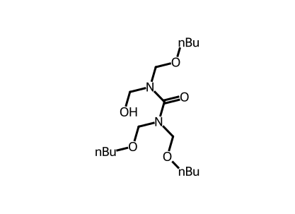 CCCCOCN(CO)C(=O)N(COCCCC)COCCCC